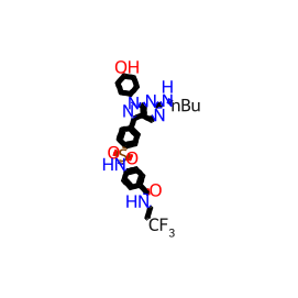 CCCCNc1ncc2c(-c3ccc(S(=O)(=O)Nc4ccc(C(=O)NCCC(F)(F)F)cc4)cc3)nn([C@H]3CC[C@H](O)CC3)c2n1